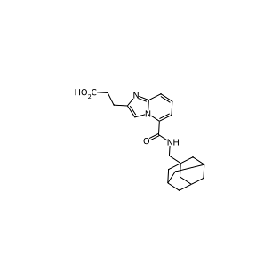 O=C(O)CCc1cn2c(C(=O)NCC34CC5CC(CC(C5)C3)C4)cccc2n1